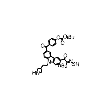 CCCC/C(=N\O)C(=O)c1ccc2c(c1)c1cc(C(=O)c3ccc(OC(=O)OCC(C)C)cc3)ccc1n2CCC1CNC1